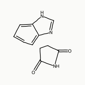 O=C1CCC(=O)N1.c1ccc2[nH]cnc2c1